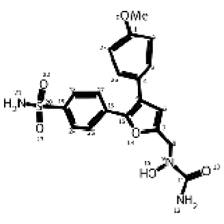 COc1ccc(-c2cc(CN(O)C(N)=O)oc2-c2ccc(S(N)(=O)=O)cc2)cc1